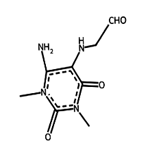 Cn1c(N)c(NCC=O)c(=O)n(C)c1=O